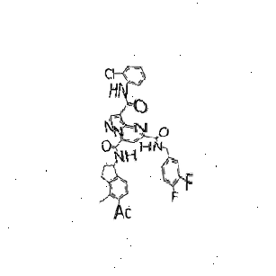 CC(=O)c1ccc2c(c1C)CCC2NC(=O)c1cc(C(=O)NCc2ccc(F)c(F)c2)nc2c(C(=O)Nc3ccccc3Cl)cnn12